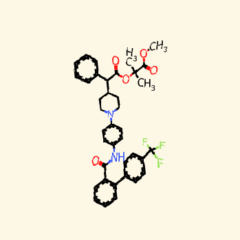 COC(=O)C(C)(C)OC(=O)C(c1ccccc1)C1CCN(c2ccc(NC(=O)c3ccccc3-c3ccc(C(F)(F)F)cc3)cc2)CC1